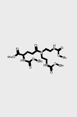 COC(=O)C(CCC(=O)N(CCNC(=O)OC(C)(C)C)CCNC(=O)OC(C)(C)C)NC(=O)OC(C)(C)C